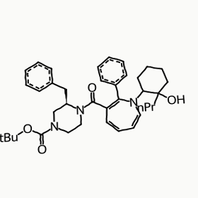 CCCC1(O)CCCCC1N1C=CC=CC(C(=O)N2CCN(C(=O)OC(C)(C)C)C[C@H]2Cc2ccccc2)=C1c1ccccc1